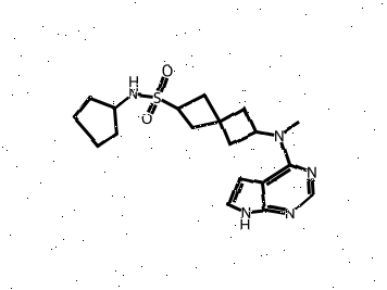 CN(c1ncnc2[nH]ccc12)C1CC2(C1)CC(S(=O)(=O)NC1CCCC1)C2